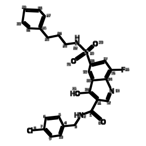 O=C(NCc1ccc(Cl)cc1)c1cnc2c(F)cc(S(=O)(=O)NCCCc3ccccc3)cc2c1O